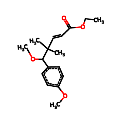 CCOC(=O)C=CC(C)(C)C(OC)c1ccc(OC)cc1